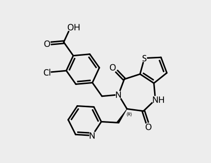 O=C(O)c1ccc(CN2C(=O)c3sccc3NC(=O)[C@H]2Cc2ccccn2)cc1Cl